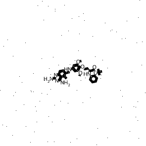 COc1cc(NCc2ccc3nc(N)nc(N)c3c2C)cc(OC)c1OCC[C@H](NC1CCCCC1)C(=O)OC(C)(C)C